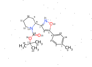 Cc1ccc(-c2cc(C3CCCCN3C(=O)OC(C)(C)C)no2)cc1